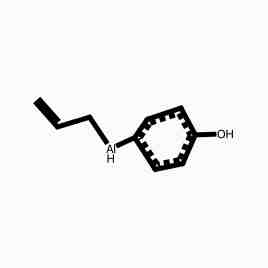 C=C[CH2][AlH][c]1ccc(O)cc1